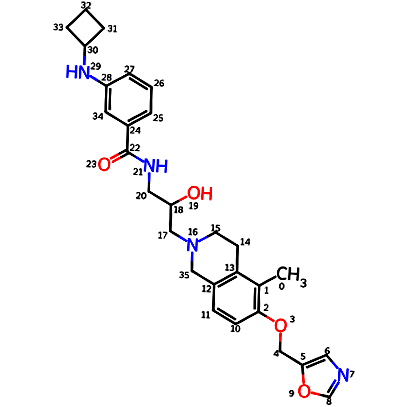 Cc1c(OCc2cnco2)ccc2c1CCN(CC(O)CNC(=O)c1cccc(NC3CCC3)c1)C2